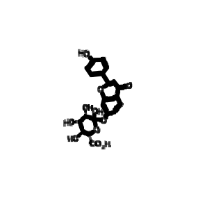 O=C(O)[C@H]1OC(O)(Oc2ccc3c(=O)cc(-c4ccc(O)cc4)oc3c2)[C@H](O)[C@@H](O)[C@@H]1O